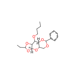 CCCCOC1C2OC(CC)O[C@H]2OC2COC(c3ccccc3)O[C@H]21